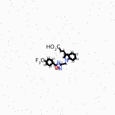 O=C(O)CCc1cn(Cc2noc(-c3ccc(C(F)(F)F)cc3)n2)c2ccccc12